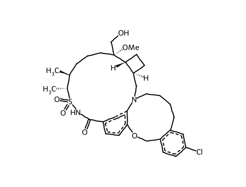 CO[C@@]1(CO)CCC[C@H](C)[C@@H](C)S(=O)(=O)NC(=O)c2ccc3c(c2)N(CCCCc2cc(Cl)ccc2CO3)C[C@@H]2CC[C@H]21